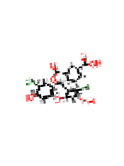 O=C(O)C1=CC=C2C(C1)C(=O)OC21c2cc(Cl)c(O)cc2Oc2cc(O)c(Cl)cc21